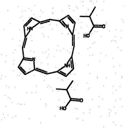 C1=Cc2cc3ccc(cc4nc(cc5ccc(cc1n2)[nH]5)C=C4)[nH]3.CC(C)C(=O)O.CC(C)C(=O)O